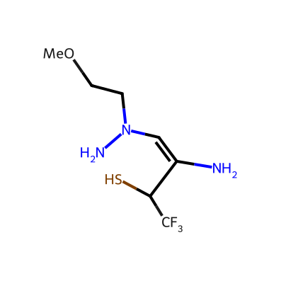 COCCN(N)/C=C(/N)C(S)C(F)(F)F